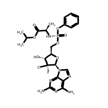 CC(C)OC(=O)[C@@H](C)N[P@](=O)(OC[C@H]1O[C@@H](n2cnc3c(N)nc(N)nc32)[C@@](F)(Cl)[C@@H]1O)Oc1ccccc1